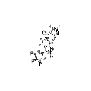 Cc1nn(C)c(C)c1C(=O)N1CCc2c(nn(C)c2-c2cc(F)c(F)c(F)c2)C1